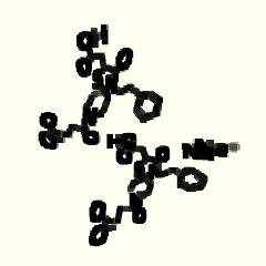 O=C([O-])CCC(=O)N1CCC2(CC1)SC(CC(=O)O)C(=O)N2CCc1ccccc1.O=C([O-])CCC(=O)N1CCC2(CC1)SC(CC(=O)O)C(=O)N2CCc1ccccc1.[Na+].[Na+]